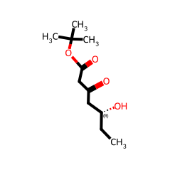 CC[C@@H](O)CC(=O)CC(=O)OC(C)(C)C